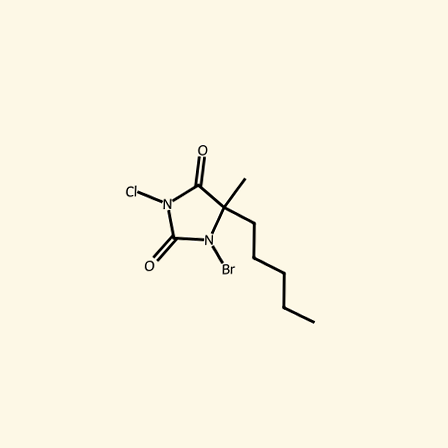 CCCCCC1(C)C(=O)N(Cl)C(=O)N1Br